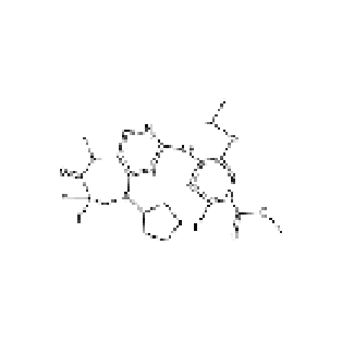 COC(=O)c1cc(OC(C)C)c(Nc2ncc3c(n2)N(C2CCCC2)CC(F)(F)C(=O)N3C)cc1F